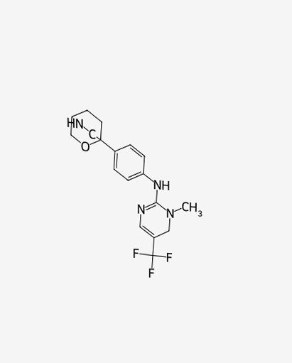 CN1CC(C(F)(F)F)=CN=C1Nc1ccc(C23CCC(CO2)NC3)cc1